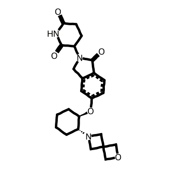 O=C1CCC(N2Cc3cc(O[C@@H]4CCCC[C@H]4N4CC5(COC5)C4)ccc3C2=O)C(=O)N1